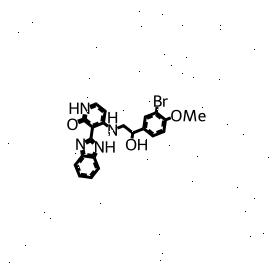 COc1ccc(C(O)CNc2cc[nH]c(=O)c2-c2nc3ccccc3[nH]2)cc1Br